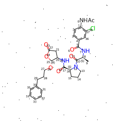 CC(=O)Nc1ccc(C(=O)N[C@@H](C)C(=O)N2CCC[C@H]2C(=O)NC2CC(=O)O[C@H]2OCCCc2ccccc2)cc1Cl